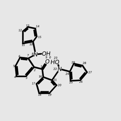 O=C(c1ccccc1N(O)c1ccccc1)c1ccccc1N(O)c1ccccc1